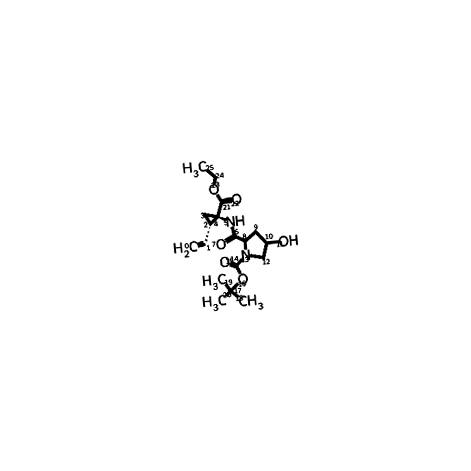 C=C[C@@H]1C[C@]1(NC(=O)C1CC(O)CN1C(=O)OC(C)(C)C)C(=O)OCC